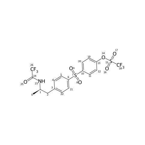 C[C@H](Cc1ccc(S(=O)(=O)c2ccc(OS(=O)(=O)C(F)(F)F)cc2)cc1)NC(=O)C(F)(F)F